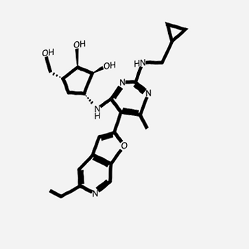 CCc1cc2cc(-c3c(C)nc(NCC4CC4)nc3N[C@@H]3C[C@H](CO)[C@@H](O)[C@H]3O)oc2cn1